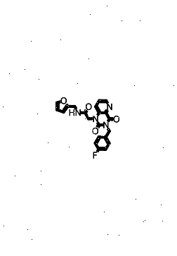 O=C(Cn1c(=O)n(Cc2ccc(F)cc2)c(=O)c2ncccc21)NCc1ccco1